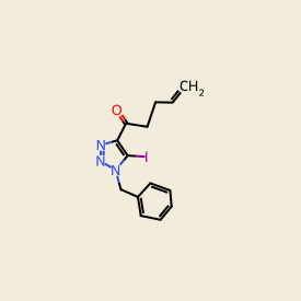 C=CCCC(=O)c1nnn(Cc2ccccc2)c1I